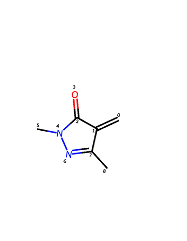 C=C1C(=O)N(C)N=C1C